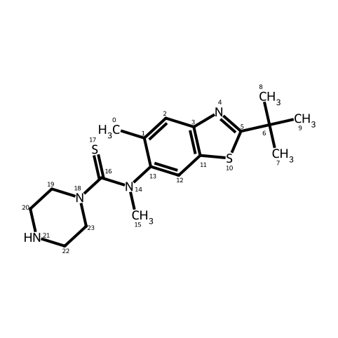 Cc1cc2nc(C(C)(C)C)sc2cc1N(C)C(=S)N1CCNCC1